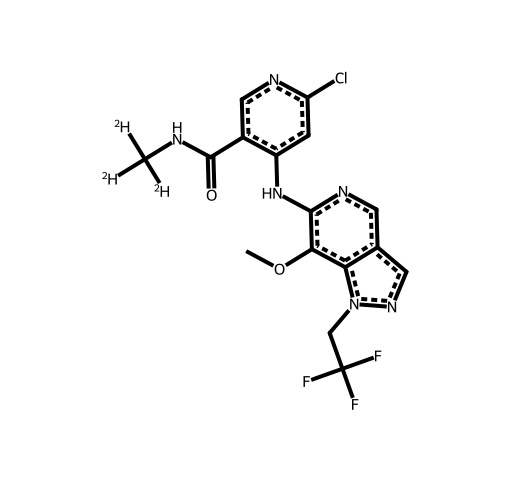 [2H]C([2H])([2H])NC(=O)c1cnc(Cl)cc1Nc1ncc2cnn(CC(F)(F)F)c2c1OC